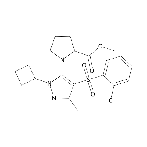 COC(=O)C1CCCN1c1c(S(=O)(=O)c2ccccc2Cl)c(C)nn1C1CCC1